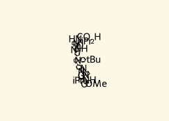 COC(=O)N[C@H](C(=O)N1CCC[C@H]1c1nc2cc([C@H]3CC[C@H](c4ccc5[nH]c([C@@H]6CCCN6C(=O)[C@@H](NC(=O)O)C(C)C)nc5c4)N3c3ccc(C(C)(C)C)cc3)ccc2[nH]1)C(C)C